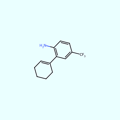 Nc1ccc(C(F)(F)F)cc1C1=CCCCC1